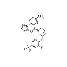 Cc1ccc(-n2nccn2)c(C(=O)N2CC3CC(Oc4ncc(C(F)(F)F)cc4F)C2C3)n1